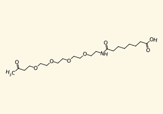 CC(=O)CCOCCOCCOCCOCCNC(=O)CCCCCCC(=O)O